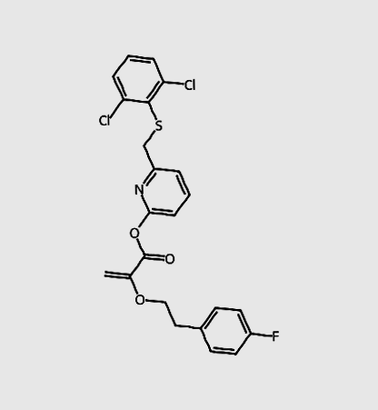 C=C(OCCc1ccc(F)cc1)C(=O)Oc1cccc(CSc2c(Cl)cccc2Cl)n1